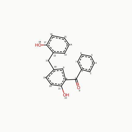 O=C(c1ccccc1)c1cc(Cc2ccccc2O)ccc1O